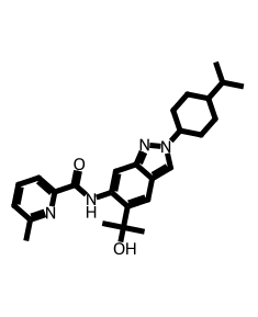 Cc1cccc(C(=O)Nc2cc3nn(C4CCC(C(C)C)CC4)cc3cc2C(C)(C)O)n1